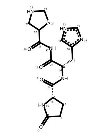 O=C1CC[C@@H](C(=O)N[C@@H](Cc2c[nH]cn2)C(=O)NC(=O)C2CNCS2)N1